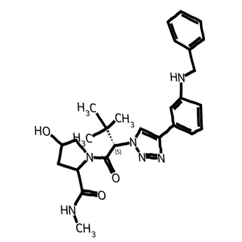 CNC(=O)C1CC(O)CN1C(=O)[C@@H](n1cc(-c2cccc(NCc3ccccc3)c2)nn1)C(C)(C)C